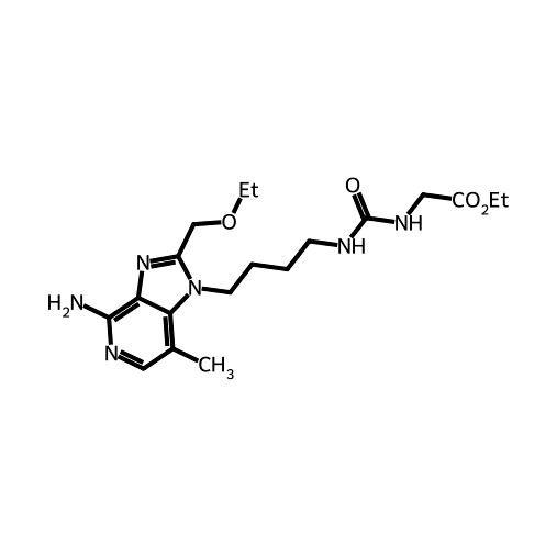 CCOCc1nc2c(N)ncc(C)c2n1CCCCNC(=O)NCC(=O)OCC